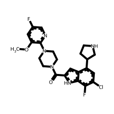 COc1cc(F)cnc1N1CCN(C(=O)c2cc3c(C4CCNC4)cc(Cl)c(F)c3[nH]2)CC1